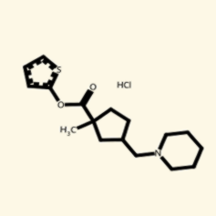 CC1(C(=O)Oc2cccs2)CCC(CN2CCCCC2)C1.Cl